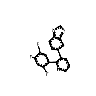 Fc1cc(F)c(-c2ncccc2-c2ccc3ncsc3c2)cc1F